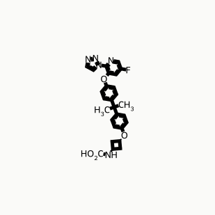 CC(C)(c1ccc(Oc2cc(F)cnc2-n2ccnn2)cc1)c1ccc(O[C@H]2C[C@H](NC(=O)O)C2)cc1